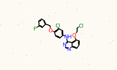 Fc1cccc(COc2ccc(Nc3ncnc4cccc(OCCCl)c34)cc2Cl)c1